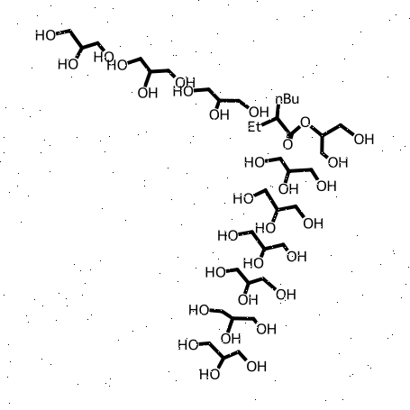 CCCCC(CC)C(=O)OC(CO)CO.OCC(O)CO.OCC(O)CO.OCC(O)CO.OCC(O)CO.OCC(O)CO.OCC(O)CO.OCC(O)CO.OCC(O)CO.OCC(O)CO